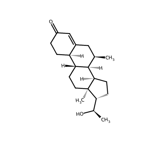 C[C@@H]1CC2=CC(=O)CC[C@@H]2[C@H]2CC[C@@]3(C)[C@H](CC[C@@H]3[C@@H](C)O)[C@@H]21